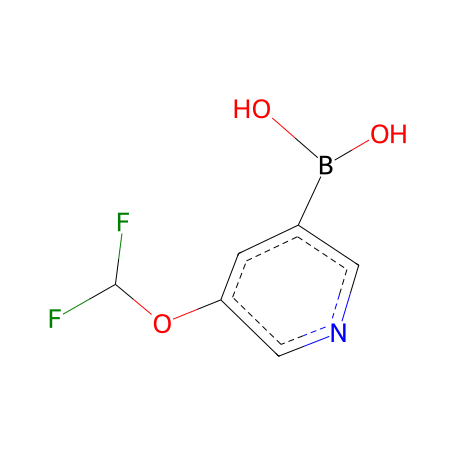 OB(O)c1cncc(OC(F)F)c1